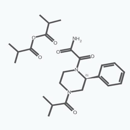 CC(C)C(=O)N1CCN(C(=O)C(N)=O)[C@@H](c2ccccc2)C1.CC(C)C(=O)OC(=O)C(C)C